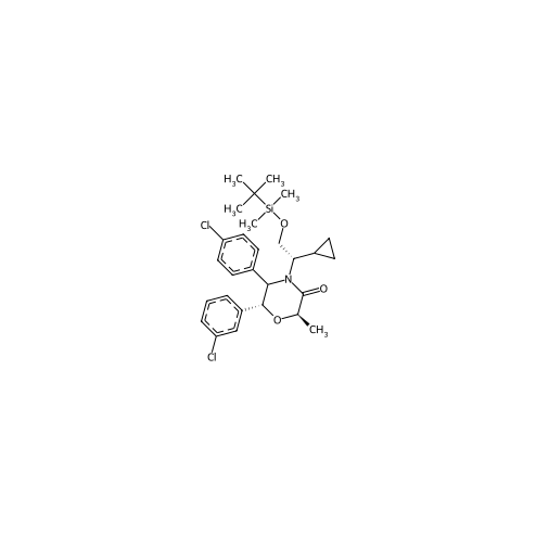 C[C@H]1O[C@H](c2cccc(Cl)c2)C(c2ccc(Cl)cc2)N([C@H](CO[Si](C)(C)C(C)(C)C)C2CC2)C1=O